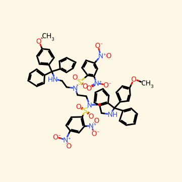 COc1ccc(C(NCCN(CCN(CCNC(c2ccccc2)(c2ccccc2)c2ccc(OC)cc2)S(=O)(=O)c2ccc([N+](=O)[O-])cc2[N+](=O)[O-])S(=O)(=O)c2ccc([N+](=O)[O-])cc2[N+](=O)[O-])(c2ccccc2)c2ccccc2)cc1